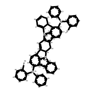 Fc1ccccc1N(c1ccccc1)c1ccc2c3c(n4c2c1C1CC=CC=C14)C=C1c2ccc(N(c4ccccc4)c4ccccc4F)c4c5ccccc5n(c24)C1C3